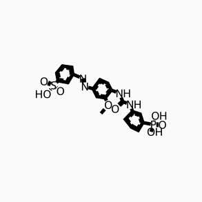 COc1cc(/N=N/c2cccc(S(=O)(=O)O)c2)ccc1NC(=O)Nc1cccc(P(=O)(O)O)c1